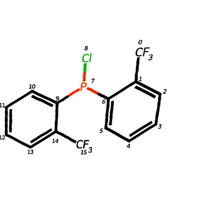 FC(F)(F)c1ccccc1P(Cl)c1ccccc1C(F)(F)F